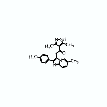 Cc1ccc(-c2nc3ccc(C)cn3c2CC(=O)c2c(C)n[nH]c2C)cc1